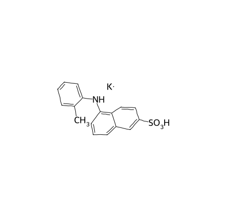 Cc1ccccc1Nc1cccc2cc(S(=O)(=O)O)ccc12.[K]